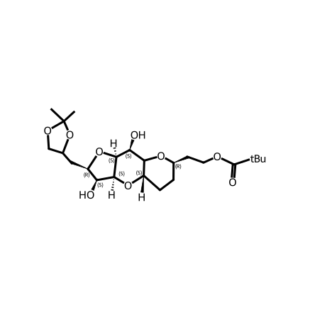 CC1(C)OCC(C[C@H]2O[C@@H]3[C@@H](O[C@H]4CC[C@H](CCOC(=O)C(C)(C)C)OC4[C@@H]3O)[C@H]2O)O1